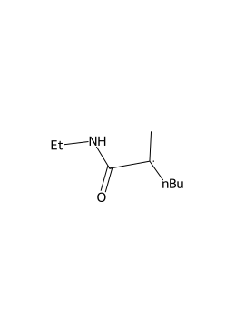 CCCC[C](C)C(=O)NCC